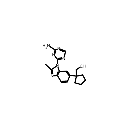 Cc1nc2ccc(C3(CO)CCCC3)cc2n1-c1ncnc(N)n1